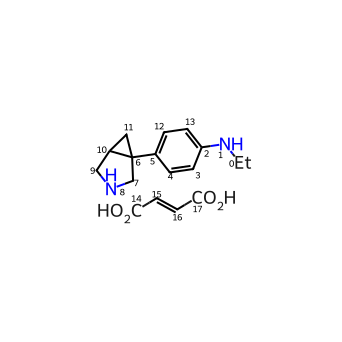 CCNc1ccc(C23CNCC2C3)cc1.O=C(O)C=CC(=O)O